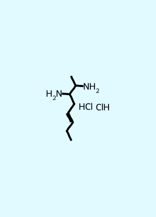 CCC=CCC(N)C(C)N.Cl.Cl